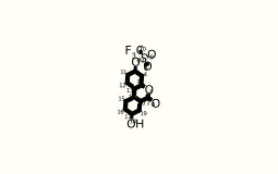 O=c1oc2cc(OS(=O)(=O)C(F)(F)F)ccc2c2ccc(O)cc12